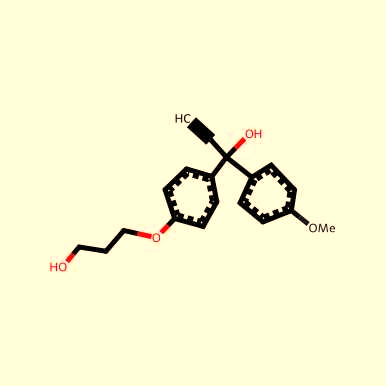 C#CC(O)(c1ccc(OC)cc1)c1ccc(OCCCO)cc1